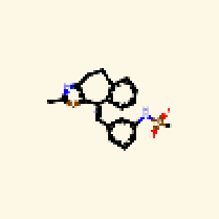 Cc1nc2c(s1)/C(=C/c1cccc(NS(C)(=O)=O)c1)c1ccccc1CC2